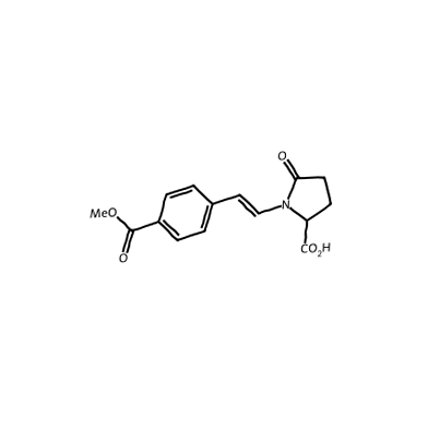 COC(=O)c1ccc(C=CN2C(=O)CCC2C(=O)O)cc1